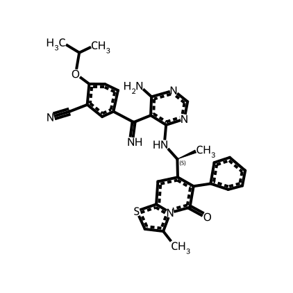 Cc1csc2cc([C@H](C)Nc3ncnc(N)c3C(=N)c3ccc(OC(C)C)c(C#N)c3)c(-c3ccccc3)c(=O)n12